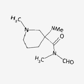 CNC1(C(=O)N(C)C=O)CCCN(C)C1